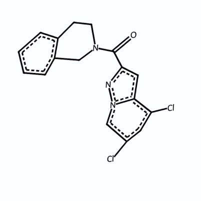 O=C(c1cc2c(Cl)cc(Cl)cn2n1)N1CCc2ccccc2C1